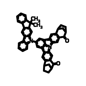 CC1(C)c2ccccc2-c2cc3c4ccccc4n(-c4cc5c6cc7c(cc6n6c8cc9c(cc8c(c4)c56)C4CCC(C4)C9=O)C(=O)C4CCC7C4)c3cc21